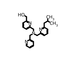 CC(C)Cc1cccc(CN(Cc2ccccn2)Cc2cccc(CO)n2)n1